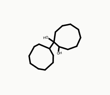 OC1CCCCCCCC1(O)C1CCCCCCCC1